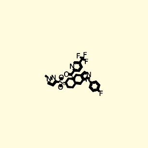 Cn1ccc(S(=O)(=O)[C@H]2CCC3=Cc4c(cnn4-c4ccc(F)cc4)C[C@]3(C(=O)c3ccc(C(F)(F)F)cn3)C2)n1